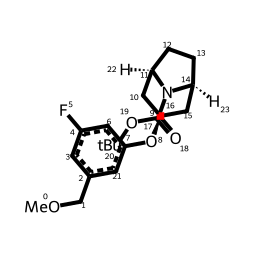 COCc1cc(F)cc(O[C@H]2C[C@H]3CC[C@@H](C2)N3C(=O)OC(C)(C)C)c1